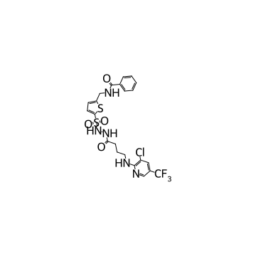 O=C(CCCNc1ncc(C(F)(F)F)cc1Cl)NNS(=O)(=O)c1ccc(CNC(=O)c2ccccc2)s1